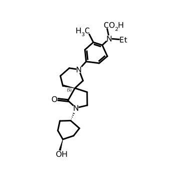 CCN(C(=O)O)c1ccc(N2CCC[C@]3(CCN([C@H]4CC[C@H](O)CC4)C3=O)C2)cc1C